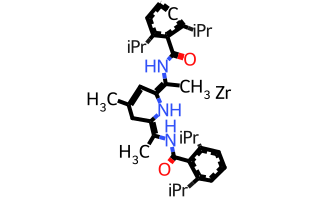 CC1=CC(=C(C)NC(=O)c2c(C(C)C)cccc2C(C)C)NC(=C(C)NC(=O)c2c(C(C)C)cccc2C(C)C)C1.[Zr]